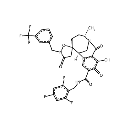 C[C@H]1CC[C@]2(CC(=O)N(Cc3cccc(C(F)(F)F)c3)O2)[C@H]2CN1C(=O)c1c(O)c(=O)c(C(=O)NCc3c(F)cc(F)cc3F)cn12